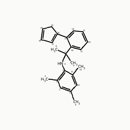 Cc1cc(C)c(NC(C)(C)c2ccccc2C2=CC=CC2)c(C)c1